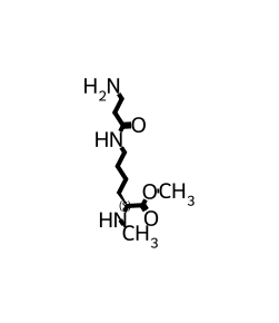 CN[C@@H](CCCCNC(=O)CCN)C(=O)OC